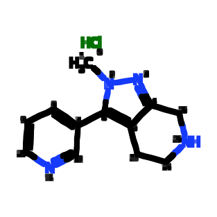 Cl.Cn1nc2c(c1-c1cccnc1)CCNC2